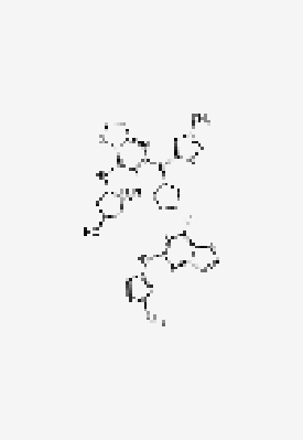 Cc1cc(N(c2nc(N[C@H]3CC[C@@H](O)C3)c3sccc3n2)C2C[C@H](Oc3nc(Nc4cnn(C)c4)nc4ccsc34)C[C@@H]2N)sn1